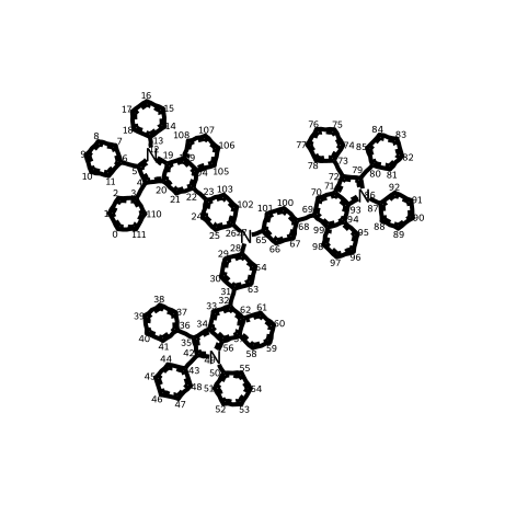 c1ccc(-c2c(-c3ccccc3)n(-c3ccccc3)c3c2cc(-c2ccc(N(c4ccc(-c5cc6c(-c7ccccc7)c(-c7ccccc7)n(-c7ccccc7)c6c6ccccc56)cc4)c4ccc(-c5cc6c(-c7ccccc7)c(-c7ccccc7)n(-c7ccccc7)c6c6ccccc56)cc4)cc2)c2ccccc23)cc1